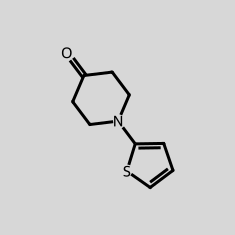 O=C1CCN(c2cccs2)CC1